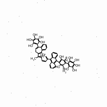 Bc1c(O)c(-c2c3ccccc3c(C(/C=C\c3oc4c(c3C)CC=C(c3c(O)c(O)c(O)c(O)c3O)c3ccccc3-4)=C/C)c3ccccc23)c(O)c(B)c1-c1c(O)c(O)c(O)c(O)c1O